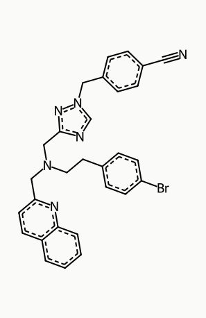 N#Cc1ccc(Cn2cnc(CN(CCc3ccc(Br)cc3)Cc3ccc4ccccc4n3)n2)cc1